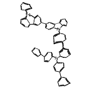 c1ccc(-c2ccc(N(c3ccc(-c4ccccc4)cc3)c3cccc(-c4ccc(-n5c6ccccc6c6cc(-c7ccc8c(c7)c7ccccc7n8-c7ccccc7)ccc65)cc4)c3)cc2)cc1